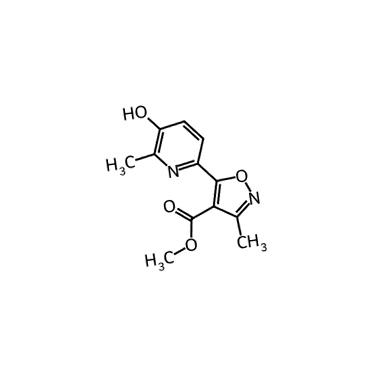 COC(=O)c1c(C)noc1-c1ccc(O)c(C)n1